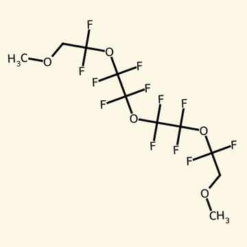 COCC(F)(F)OC(F)(F)C(F)(F)OC(F)(F)C(F)(F)OC(F)(F)COC